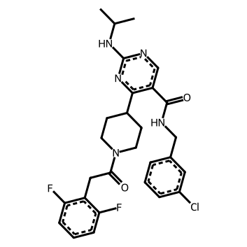 CC(C)Nc1ncc(C(=O)NCc2cccc(Cl)c2)c(C2CCN(C(=O)Cc3c(F)cccc3F)CC2)n1